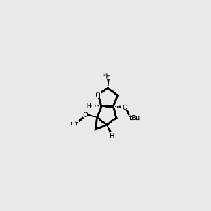 [3H][C@H]1C[C@@]2(OC(C)(C)C)C[C@@H]3C[C@]3(OC(C)C)[C@H]2O1